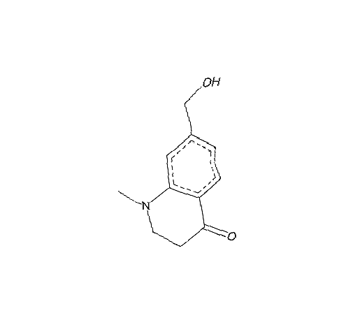 CN1CCC(=O)c2ccc(CO)cc21